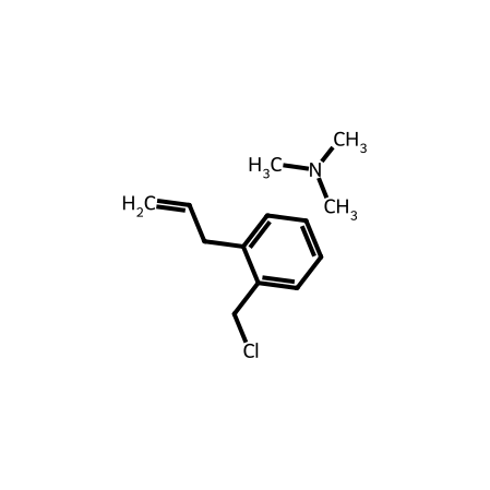 C=CCc1ccccc1CCl.CN(C)C